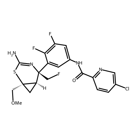 COC[C@@]12C[C@@H]1[C@@](CF)(c1cc(NC(=O)c3ccc(Cl)cn3)cc(F)c1F)N=C(N)S2